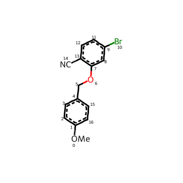 COc1ccc(COc2cc(Br)ccc2C#N)cc1